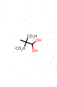 CC(C(=O)O)(C(=O)O)C(O)O